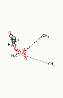 CCCCCCCCCCCCCCCC(=O)OCC(COC(=O)CCCCCCCCCCCCCCC)OC(=O)C(C)CC(=O)OCO[C@H]1CC[C@H]2[C@@H]3CCC4=CC(=O)CC[C@]4(C)[C@H]3CC[C@]12C